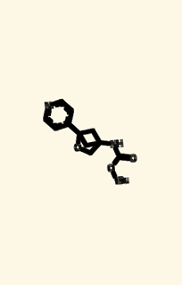 CC(C)(C)OC(=O)NC12COC(c3ccncc3)(C1)C2